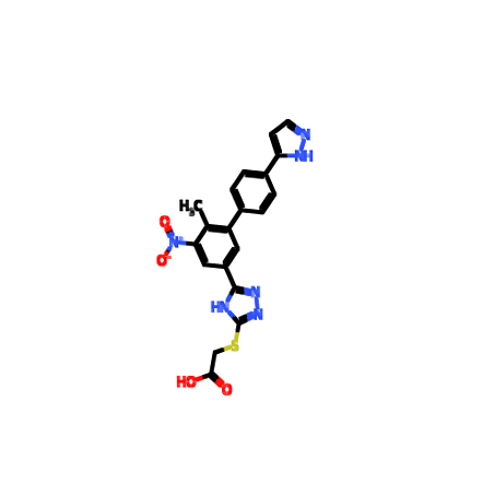 Cc1c(-c2ccc(-c3ccn[nH]3)cc2)cc(-c2nnc(SCC(=O)O)[nH]2)cc1[N+](=O)[O-]